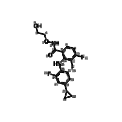 O=C(NOCCO)c1ccc(F)c(F)c1Nc1ccc(C2CC2)cc1F